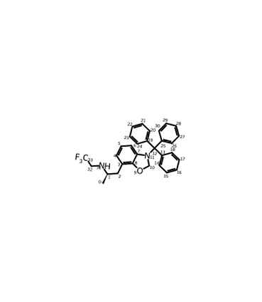 C[C@H](Cc1cccc2c1OCN2C(c1ccccc1)(c1ccccc1)c1ccccc1)NCC(F)(F)F